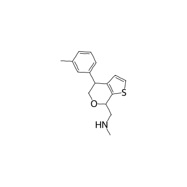 CNCC1OCC(c2cccc(C)c2)c2ccsc21